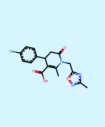 CC1=C(C(=O)O)C(c2ccc(Cl)cc2)CC(=O)N1Cc1nc(C)no1